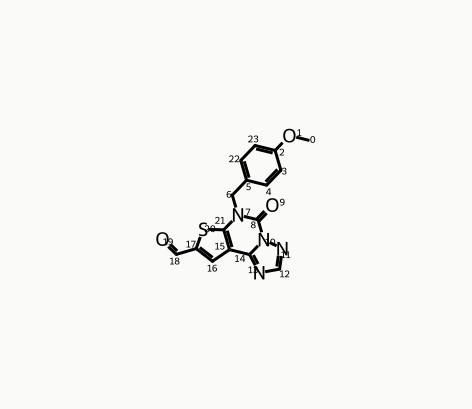 COc1ccc(Cn2c(=O)n3ncnc3c3cc(C=O)sc32)cc1